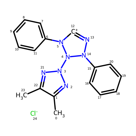 Cc1nn(N2N(c3ccccc3)[C+]=NN2c2ccccc2)nc1C.[Cl-]